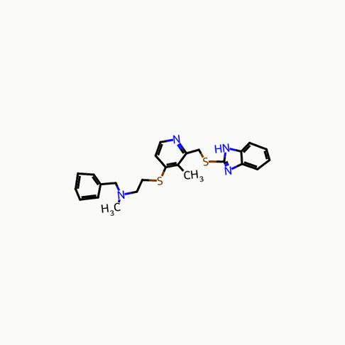 Cc1c(SCCN(C)Cc2ccccc2)ccnc1CSc1nc2ccccc2[nH]1